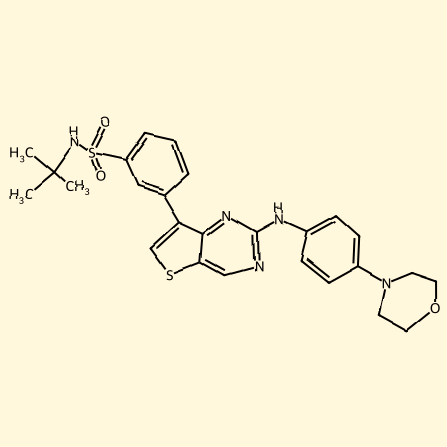 CC(C)(C)NS(=O)(=O)c1cccc(-c2csc3cnc(Nc4ccc(N5CCOCC5)cc4)nc23)c1